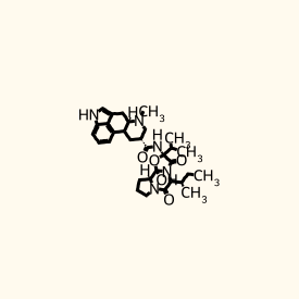 CC[C@@H](C)C1C(=O)N2CCC[C@H]2C2(O)O[C@](NC(=O)[C@@H]3CC4c5cccc6[nH]cc(c56)C[C@H]4N(C)C3)(C(C)C)C(=O)N12